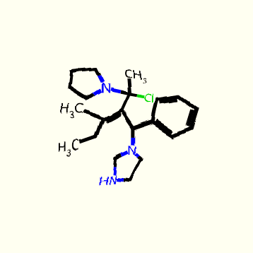 CCC(C)=C(C(c1ccccc1)N1CCNC1)C(C)(Cl)N1CCCC1